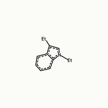 [CH2]Cn1cc(CC)c2ccccc21